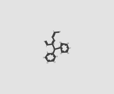 C=C/C(=C\C=C/C)C(c1ccccc1)c1ccccc1